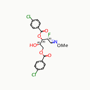 CO/N=C/[C@@H](F)[C@H](OC(=O)c1ccc(Cl)cc1)[C@H](O)COC(=O)c1ccc(Cl)cc1